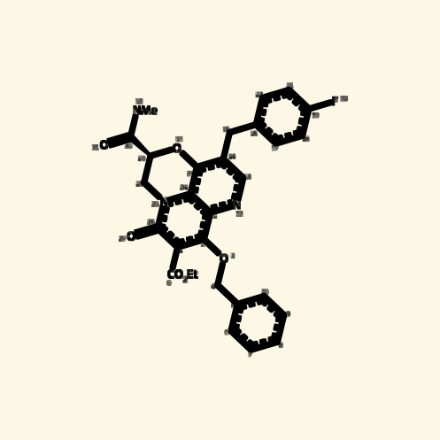 CCOC(=O)c1c(OCc2ccccc2)c2ncc(Cc3ccc(F)cc3)c3c2n(c1=O)C[C@@H](C(=O)NC)O3